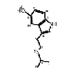 CC(C)SCCc1c[nH]c2ccc(O)cc12